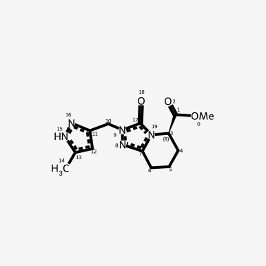 COC(=O)[C@H]1CCCc2nn(Cc3cc(C)[nH]n3)c(=O)n21